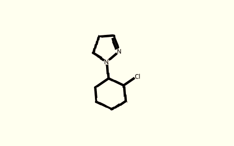 ClC1CCCCC1N1CCC=N1